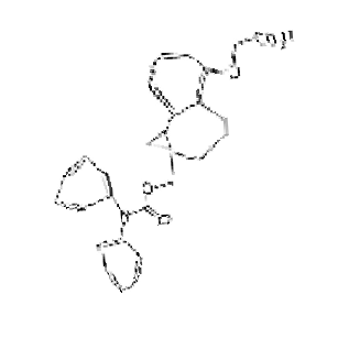 O=C(O)COc1cccc2c1CCCC1(COC(=O)N(c3ccccc3)c3ccccc3)CC21